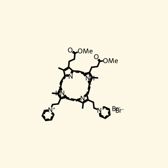 COC(=O)CCC1=C(C)c2cc3[nH]c(cc4nc(cc5[nH]c(cc1n2)c(CCC(=O)OC)c5C)C(CC[n+]1ccccc1)=C4C)c(CC[n+]1ccccc1)c3C.[Br-].[Br-]